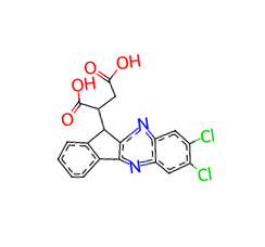 O=C(O)CC(C(=O)O)C1c2ccccc2-c2nc3cc(Cl)c(Cl)cc3nc21